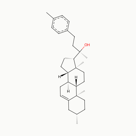 Cc1ccc(CC[C@@](C)(O)[C@H]2CC[C@H]3[C@@H]4CC=C5C[C@@H](C)CC[C@]5(C)[C@H]4CC[C@@]32C)cc1